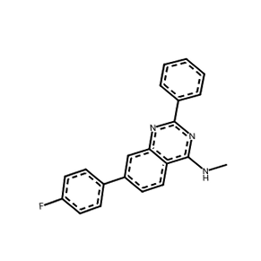 CNc1nc(-c2ccccc2)nc2cc(-c3ccc(F)cc3)ccc12